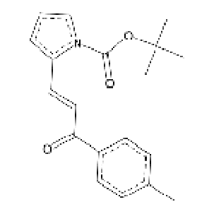 Cc1ccc(C(=O)C=Cc2cccn2C(=O)OC(C)(C)C)cc1